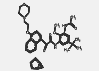 COc1c(NC(C)=O)cc(C(C)(C)C)cc1NC(=O)C(=O)c1ccc(OCCN2CCOCC2)c2ccccc12.c1cc2cc-2c1